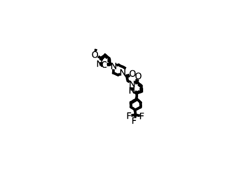 COc1ccc(N2CCN(C(=O)Cn3nc(C4=CCC(C(F)(F)F)CC4)ccc3=O)CC2)cn1